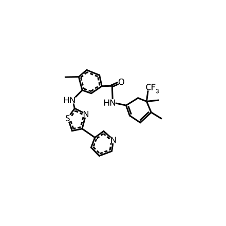 CC1=CC=C(NC(=O)c2ccc(C)c(Nc3nc(-c4cccnc4)cs3)c2)CC1(C)C(F)(F)F